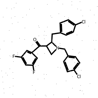 O=C(c1cc(F)cc(F)c1)C1CN(Cc2ccc(Cl)cc2)C1Cc1ccc(Cl)cc1